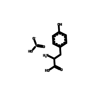 NC(Cc1ccc(O)cc1)C(=O)O.O=[N+]([O-])O